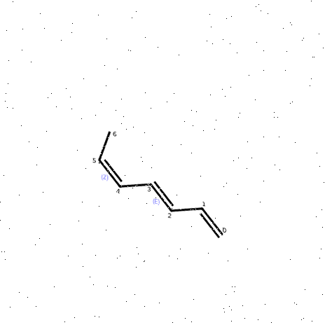 C=C/C=C/C=[C]\C